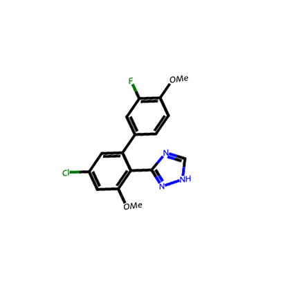 COc1ccc(-c2cc(Cl)cc(OC)c2-c2nc[nH]n2)cc1F